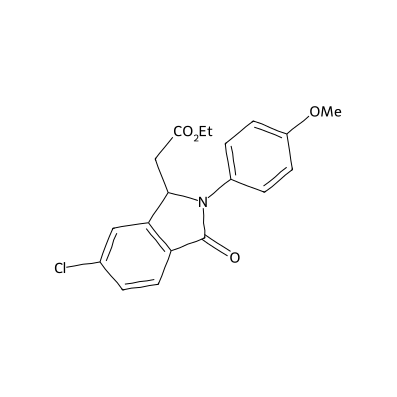 CCOC(=O)CC1c2cc(Cl)ccc2C(=O)N1c1ccc(OC)cc1